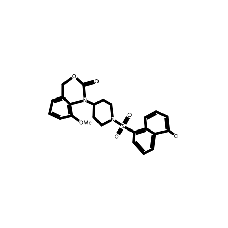 COc1cccc2c1N(C1CCN(S(=O)(=O)c3cccc4c(Cl)cccc34)CC1)C(=O)OC2